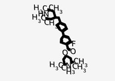 CC1(C)CC(Cc2ccc(-c3ccc(C(=O)OC4CC(C)(C)NC(C)(C)C4)c(F)c3)cc2)CC(C)(C)N1